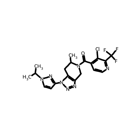 CC1Cc2c(nnn2-c2ccn(C(C)C)n2)CN1C(=O)c1ccnc(C(F)(F)F)c1Cl